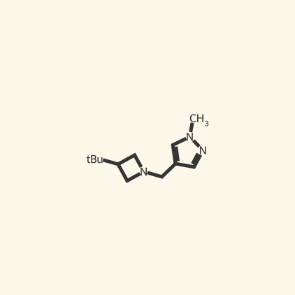 Cn1cc(CN2CC(C(C)(C)C)C2)cn1